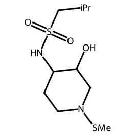 CSN1CCC(NS(=O)(=O)CC(C)C)C(O)C1